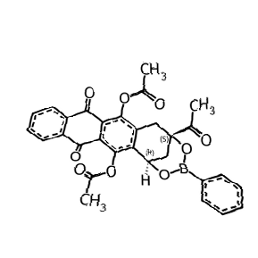 CC(=O)Oc1c2c(c(OC(C)=O)c3c1C(=O)c1ccccc1C3=O)[C@H]1C[C@](C(C)=O)(C2)OB(c2ccccc2)O1